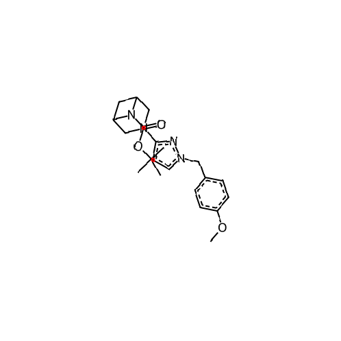 COc1ccc(Cn2ccc(N3CC4CC(C3)N4C(=O)OC(C)(C)C)n2)cc1